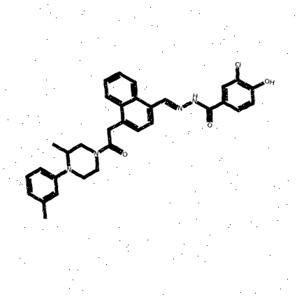 Cc1cccc(N2CCN(C(=O)Cc3ccc(/C=N/NC(=O)c4ccc(O)c(Cl)c4)c4ccccc34)CC2C)c1